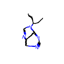 CCC(C)n1cnc2cncnc21